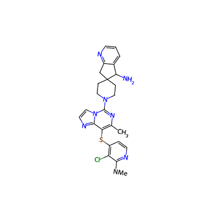 CNc1nccc(Sc2c(C)nc(N3CCC4(CC3)Cc3ncccc3C4N)n3ccnc23)c1Cl